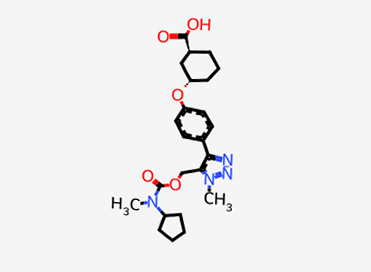 CN(C(=O)OCc1c(-c2ccc(O[C@H]3CCC[C@H](C(=O)O)C3)cc2)nnn1C)C1CCCC1